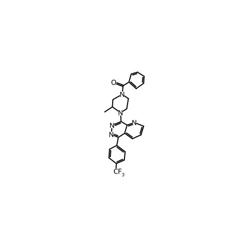 CC1CN(C(=O)c2ccccc2)CCN1c1nnc(-c2ccc(C(F)(F)F)cc2)c2cccnc12